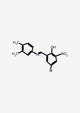 Cc1ccc(/N=C/c2cc(Br)cc([N+](=O)[O-])c2O)cc1C